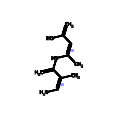 C=C(O)/C=C(/C)NC(=C)/C(C)=C\N